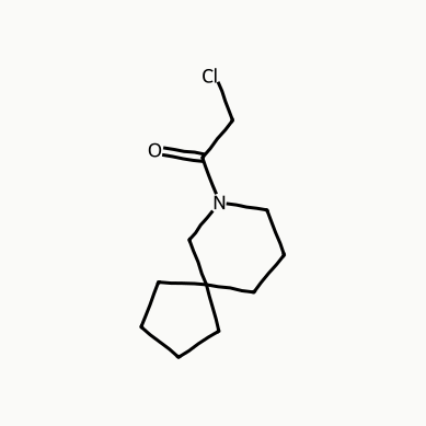 O=C(CCl)N1CCCC2(CCCC2)C1